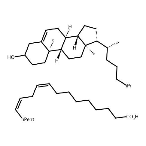 CC(C)CCC[C@@H](C)[C@H]1CC[C@H]2[C@@H]3CC=C4CC(O)CC[C@]4(C)[C@H]3CC[C@]12C.CCCCC/C=C\C/C=C\CCCCCCCC(=O)O